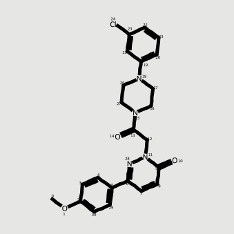 COc1ccc(-c2ccc(=O)n(CC(=O)N3CCN(c4cccc(Cl)c4)CC3)n2)cc1